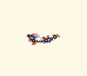 COc1ccc(C2=CN3C(=O)c4cc(OC)c(OCCCCCOc5cc6c(cc5OC)C(=O)N5CC7(CC7)C[C@@]5(C)[C@@H](O)N6N)cc4NCC3C2)cc1